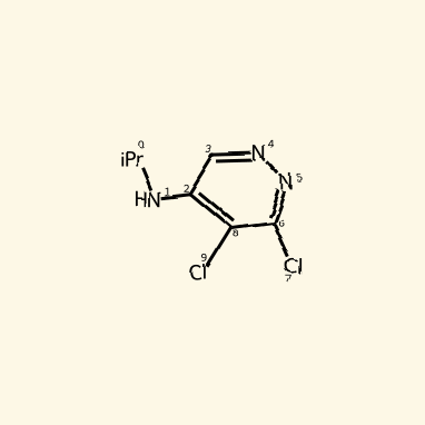 CC(C)Nc1cnnc(Cl)c1Cl